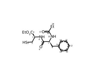 CCOC(=O)[C@H](CS)NC(=O)[C@H](Cc1ccccc1)NC(=O)CC